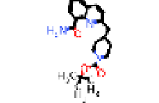 CC(C)(C)OC(=O)N1CCC(Cc2ccc3cccc(C(N)=O)c3n2)CC1